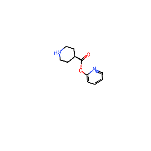 O=C(Oc1ccccn1)C1CCNCC1